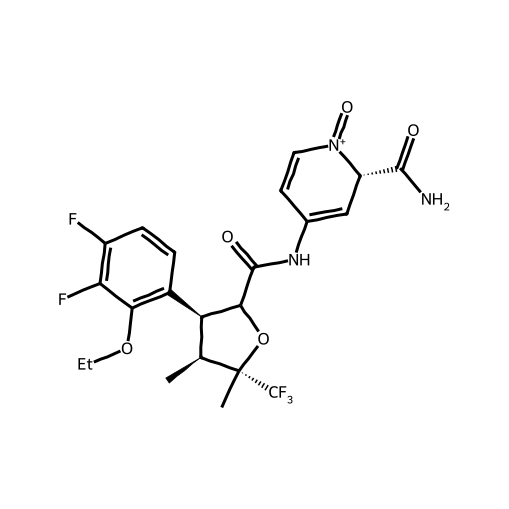 CCOc1c([C@H]2C(C(=O)NC3=C[C@@H](C(N)=O)[N+](=O)C=C3)O[C@](C)(C(F)(F)F)[C@H]2C)ccc(F)c1F